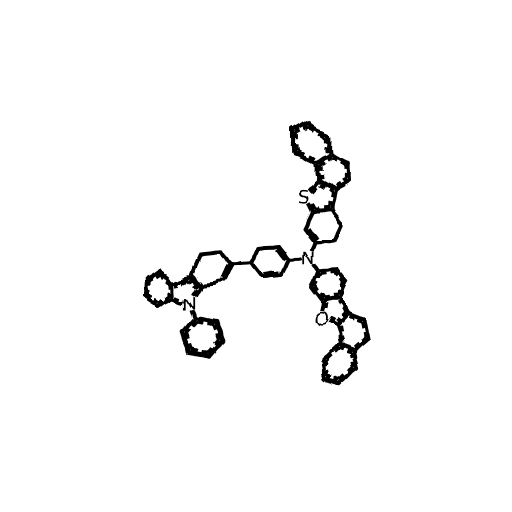 C1=CC(C2=Cc3c(c4ccccc4n3-c3ccccc3)CC2)CC=C1N(C1=Cc2sc3c(ccc4ccccc43)c2CC1)c1ccc2c(c1)oc1c3ccccc3ccc21